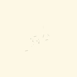 C=CCOc1nccc(-c2cccc(C(C)O)c2)n1